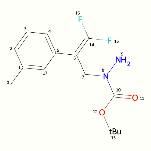 Cc1cccc(C(CN(N)C(=O)OC(C)(C)C)=C(F)F)c1